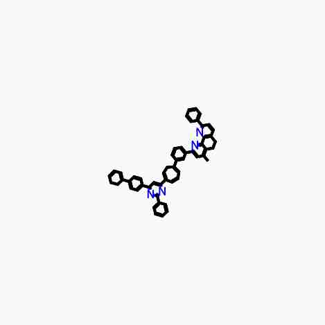 Cc1cc(-c2cccc(C3=CC=CC(c4cc(-c5ccc(C6=CC=CCC6)cc5)nc(-c5ccccc5)n4)=CC3)c2)nc2c1CCc1ccc(-c3ccccc3)nc1-2